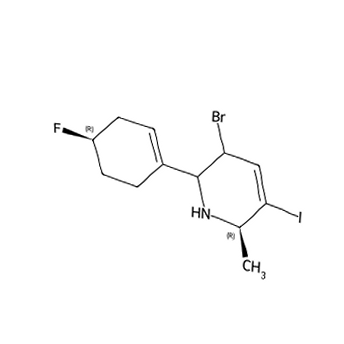 C[C@H]1NC(C2=CC[C@H](F)CC2)C(Br)C=C1I